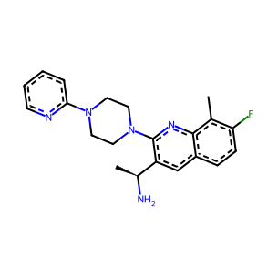 Cc1c(F)ccc2cc([C@H](C)N)c(N3CCN(c4ccccn4)CC3)nc12